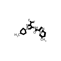 Cc1ccc2ncc(C(=O)Nc3cn([C@H]4CC[C@H](C)CC4)nc3C(F)F)n2c1